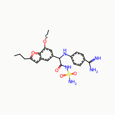 CCCc1cc2cc(C(Nc3ccc(C(=N)N)cc3)C(=O)NS(N)(=O)=O)cc(OCC)c2o1